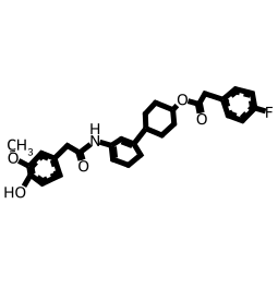 COc1cc(CC(=O)NC2=CCCC(C3CCC(OC(=O)Cc4ccc(F)cc4)CC3)=C2)ccc1O